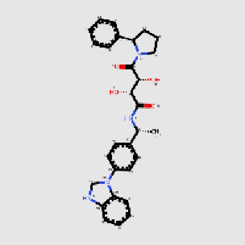 C[C@@H](NC(=O)[C@H](O)[C@@H](O)C(=O)N1CCC[C@@H]1c1ccccc1)c1ccc(N2CNc3ccccc32)cc1